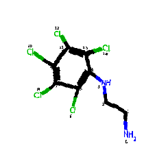 NCCNc1c(Cl)c(Cl)c(Cl)c(Cl)c1Cl